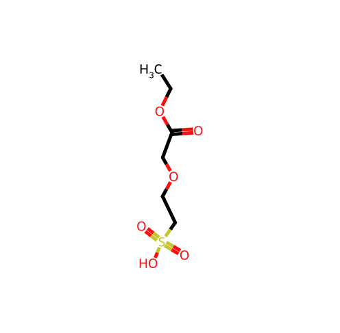 CCOC(=O)COCCS(=O)(=O)O